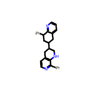 CC(C)c1nccc2c1NCC(C1Cc3cccnc3C(C(C)C)C1)C2